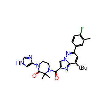 Cc1cc(-c2cc(C(C)(C)C)c3nc(C(=O)N4CCN(c5c[nH]cn5)C(=O)C4(C)C)cn3n2)ccc1F